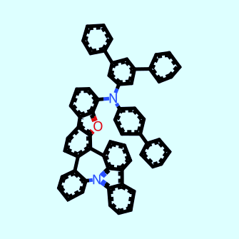 c1ccc(-c2ccc(N(c3cc(-c4ccccc4)cc(-c4ccccc4)c3)c3cccc4c3oc3c5c(ccc34)-c3ccccc3-n3c4ccccc4c4cccc-5c43)cc2)cc1